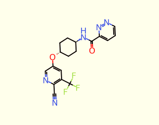 N#Cc1ncc(O[C@H]2CC[C@H](NC(=O)c3cccnn3)CC2)cc1C(F)(F)F